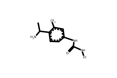 CCNC(=O)Nc1ccc(C(C)N)c(C(F)(F)F)c1